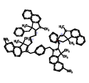 CN1/C(=C/C=C/C2=[N+](Cc3ccc(C[N+]4=C(/C=C/C=C5/N(C)c6ccc7ccccc7c6C5(C)Cc5ccccc5)C(C)(C)c5c4ccc4ccc([N+](=O)[O-])cc54)cc3)c3ccc4ccc([N+](=O)[O-])cc4c3C2(C)C)C(C)(Cc2ccccc2)c2c1ccc1ccccc21